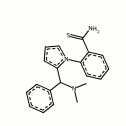 CN(C)C(c1ccccc1)c1cccn1-c1ccccc1C(N)=S